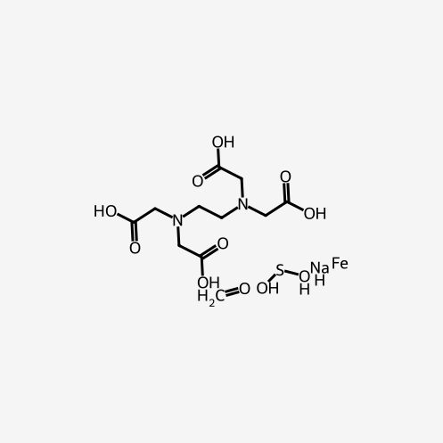 C=O.O=C(O)CN(CCN(CC(=O)O)CC(=O)O)CC(=O)O.OSO.[Fe].[NaH]